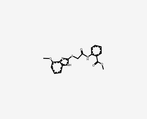 COC(=O)c1ccccc1NC(=O)CSc1nc2c(OC)cccc2[nH]1